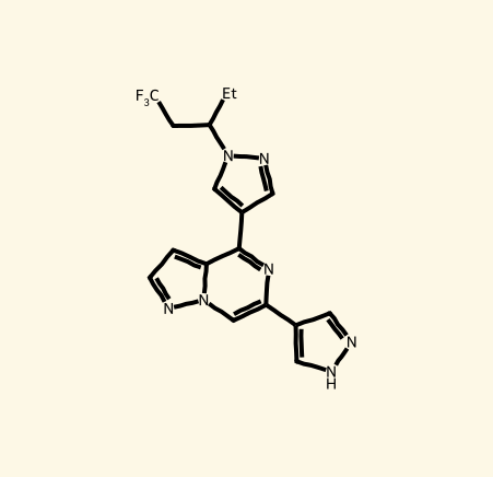 CCC(CC(F)(F)F)n1cc(-c2nc(-c3cn[nH]c3)cn3nccc23)cn1